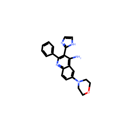 Nc1c(-c2ncc[nH]2)c(-c2ccccc2)nc2ccc(N3CCOCC3)cc12